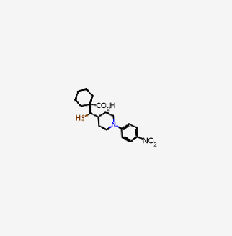 O=C(O)C1(C(S)C2CCN(c3ccc([N+](=O)[O-])cc3)CC2)CCCCC1